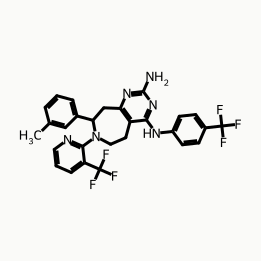 Cc1cccc(C2Cc3nc(N)nc(Nc4ccc(C(F)(F)F)cc4)c3CCN2c2ncccc2C(F)(F)F)c1